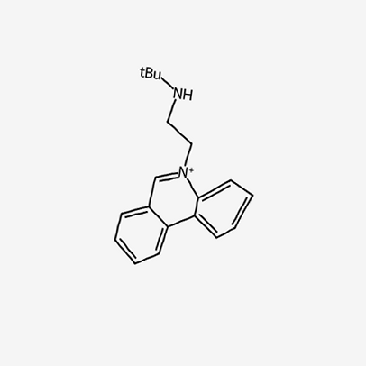 CC(C)(C)NCC[n+]1cc2ccccc2c2ccccc21